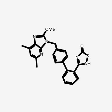 COc1nc2c(C)cc(C)nc2n1Cc1ccc(-c2ccccc2-c2nc(=O)s[nH]2)cc1